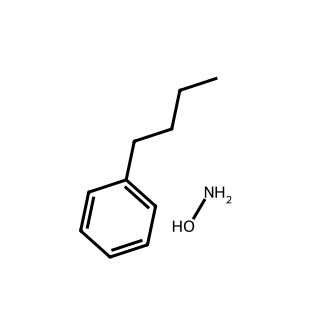 CCCCc1ccccc1.NO